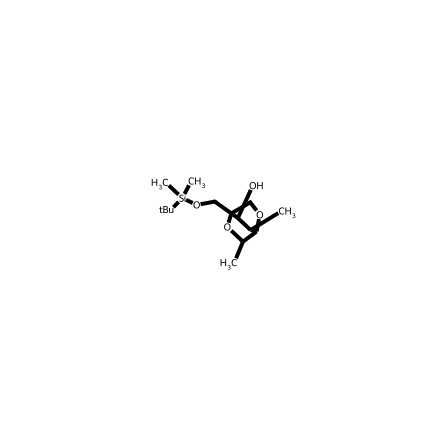 CC1OC2(CO[Si](C)(C)C(C)(C)C)COC1C(C)C2O